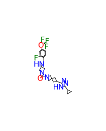 O=C(N1CC(NCc2ccc(OC(F)(F)F)cc2F)C1)N1CC2(CC(c3nnc(C4CC4)[nH]3)C2)C1